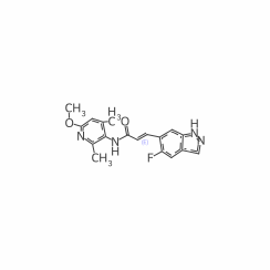 COc1cc(C)c(NC(=O)/C=C/c2cc3[nH]ncc3cc2F)c(C)n1